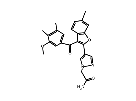 COc1cc(C(=O)c2c(-c3cnn(CC(N)=O)c3)oc3cc(C)ccc23)cc(C)c1C